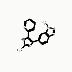 Cc1nc(-c2ccc3nnn(C)c3c2)c(-c2ccccn2)[nH]1